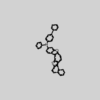 c1ccc(-c2ccc(N(c3ccccc3)c3ccc4c(c3)oc3ccc5c(sc6ccc7ccccc7c65)c34)cc2)cc1